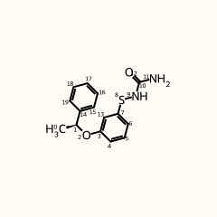 C[C@H](Oc1cccc(SNC(N)=O)c1)c1ccccc1